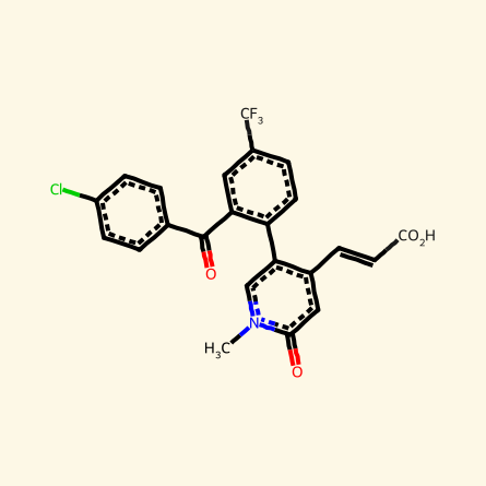 Cn1cc(-c2ccc(C(F)(F)F)cc2C(=O)c2ccc(Cl)cc2)c(C=CC(=O)O)cc1=O